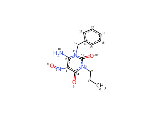 CCCn1c(=O)c(N=O)c(N)n(Cc2ccccc2)c1=O